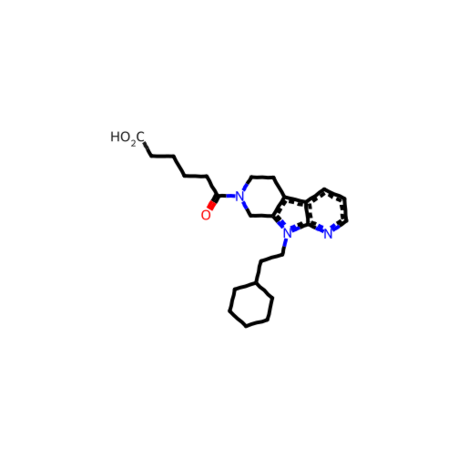 O=C(O)CCCCC(=O)N1CCc2c(n(CCC3CCCCC3)c3ncccc23)C1